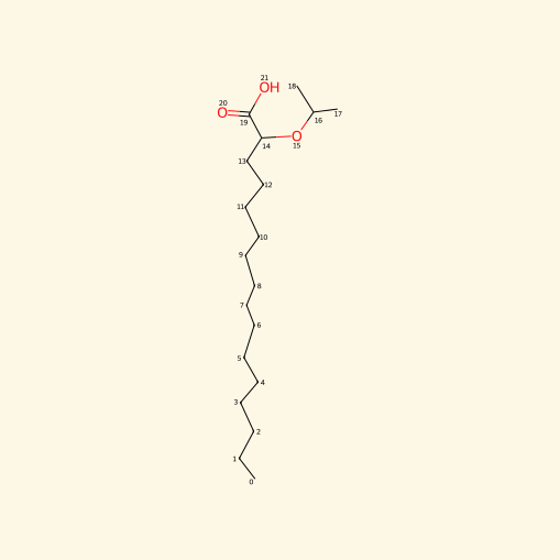 CCCCCCCCCCCCCCC(OC(C)C)C(=O)O